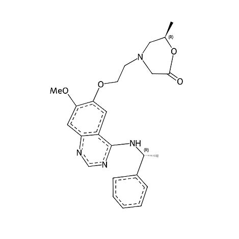 COc1cc2ncnc(N[C@H](C)c3ccccc3)c2cc1OCCN1CC(=O)O[C@H](C)C1